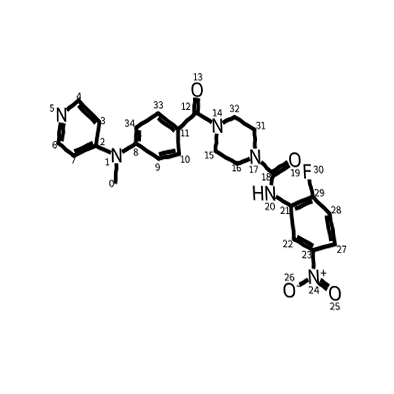 CN(c1ccncc1)c1ccc(C(=O)N2CCN(C(=O)Nc3cc([N+](=O)[O-])ccc3F)CC2)cc1